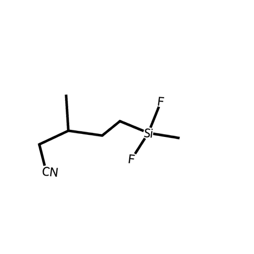 CC(CC#N)CC[Si](C)(F)F